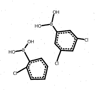 OB(O)c1cc(Cl)cc(Cl)c1.OB(O)c1ccccc1Cl